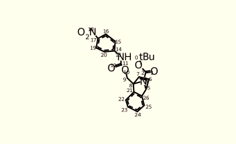 CC(C)(C)OC(=O)N1C2C=CC1(COC(=O)Nc1ccc([N+](=O)[O-])cc1)c1ccccc12